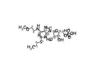 CCCSc1nc(NCCOC)c2ncn([C@@H]3O[C@H](COP(=O)(O)O)C(O)C3O)c2n1